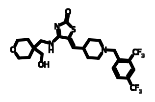 O=C1N=C(NCC2(CO)CCOCC2)/C(=C/C2CCN(Cc3ccc(C(F)(F)F)cc3C(F)(F)F)CC2)S1